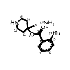 CC1(OC(=O)c2ccccc2C(C)(C)C)CCNCC1.N